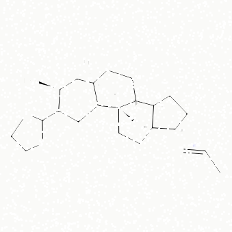 C/C=C/[C@H]1CC[C@]2(O)[C@@H]3CC[C@@H]4C[C@H](O)C(C5OCCO5)C[C@]4(C)[C@H]3CC[C@]12C